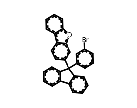 Brc1cccc(C2(c3ccc4c(c3)oc3ccccc34)c3ccccc3-c3ccccc32)c1